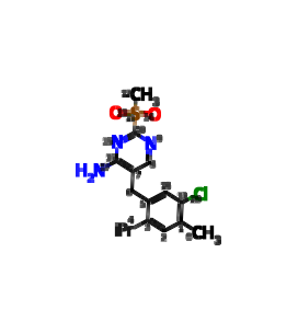 Cc1cc(C(C)C)c(Cc2cnc(S(C)(=O)=O)nc2N)cc1Cl